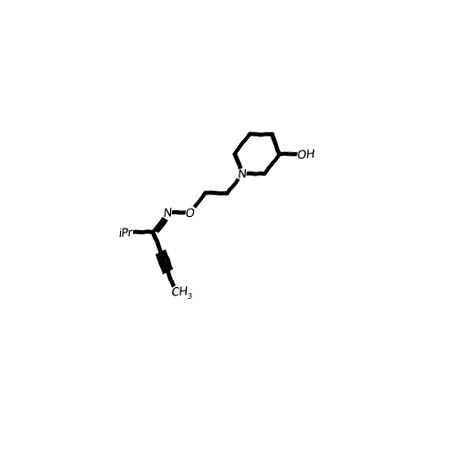 CC#C/C(=N\OCCN1CCCC(O)C1)C(C)C